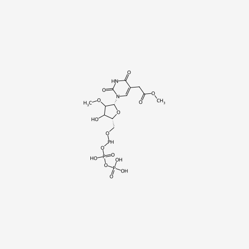 COC(=O)Cc1cn([C@@H]2O[C@H](COPOP(=O)(O)OP(=O)(O)O)C(O)C2OC)c(=O)[nH]c1=O